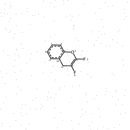 FC1=C(F)Oc2ccccc2C1